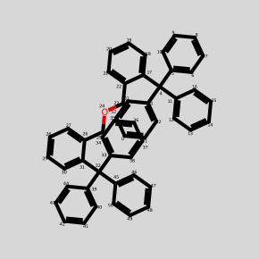 c1ccc(C(c2ccccc2)(c2ccccc2)c2ccccc2COCc2ccccc2C(c2ccccc2)(c2ccccc2)c2ccccc2)cc1